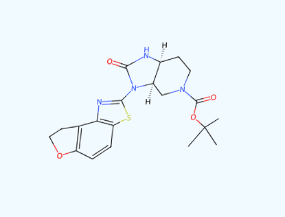 CC(C)(C)OC(=O)N1CC[C@@H]2NC(=O)N(c3nc4c5c(ccc4s3)OCC5)[C@@H]2C1